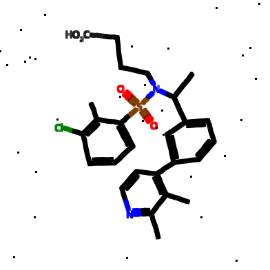 Cc1nccc(-c2cccc(C(C)N(CCCC(=O)O)S(=O)(=O)c3cccc(Cl)c3C)c2)c1C